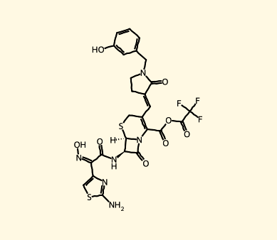 Nc1nc(/C(=N/O)C(=O)N[C@@H]2C(=O)N3C(C(=O)OC(=O)C(F)(F)F)=C(C=C4CCN(Cc5cccc(O)c5)C4=O)CS[C@H]23)cs1